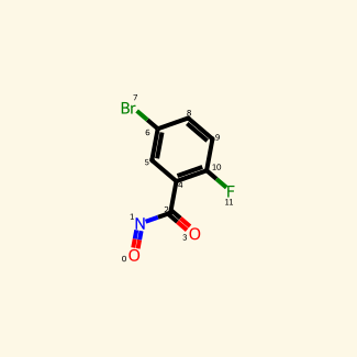 O=NC(=O)c1cc(Br)ccc1F